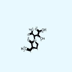 C=CC1CCN(C(C(=O)O)C(O)C(=O)O)C1=O